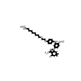 CC1(C)CC(=O)c2c(C(F)(F)F)nn(-c3ccc(C=O)c(Nc4ccc(OCCOCCCCCCCCNC=O)cc4)c3)c2C1